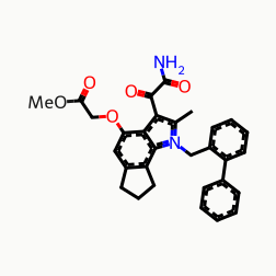 COC(=O)COc1cc2c(c3c1c(C(=O)C(N)=O)c(C)n3Cc1ccccc1-c1ccccc1)CCC2